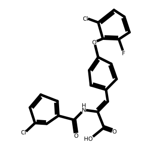 O=C(O)C(=Cc1ccc(Oc2c(F)cccc2Cl)cc1)NC(=O)c1cccc(Cl)c1